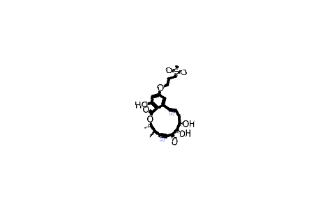 C[C@@H]1/C=C\C(=O)[C@@H](O)[C@@H](O)C/C=C/c2cc(OCCCS(C)(=O)=O)cc(O)c2C(=O)O[C@H]1C